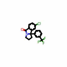 O=C1c2ccc(Cl)cc2C2(c3cccc(C(F)(F)F)c3)CCCN12